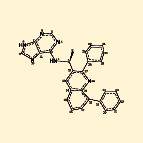 C[C@H](Nc1ncnc2[nH]cnc12)c1cc2cccc(-c3ccccc3)c2nc1-c1ccccc1